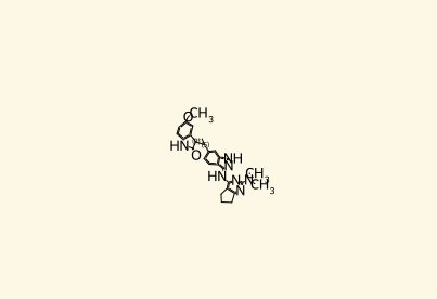 COc1ccc2c(c1)[C@]1(C[C@H]1c1ccc3c(Nc4nc(N(C)C)nc5c4CCC5)n[nH]c3c1)C(=O)N2